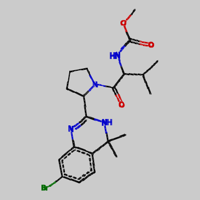 COC(=O)NC(C(=O)N1CCCC1C1=Nc2cc(Br)ccc2C(C)(C)N1)C(C)C